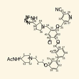 CC(=O)NC1CCN(CCCOc2cccc(-c3cccc(COc4cc(OCc5cncc(C#N)c5)c(CN5CCC(c6nnn[nH]6)C5)cc4Cl)c3C)c2C)CC1